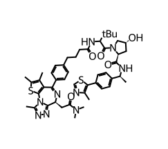 Cc1ncsc1-c1ccc([C@H](C)NC(=O)[C@@H]2C[C@@H](O)CN2C(=O)C(NC(=O)CCCc2ccc(C3=N[C@@H](CC(=O)N(C)C)c4nnc(C)n4-c4sc(C)c(C)c43)cc2)C(C)(C)C)cc1